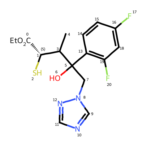 CCOC(=O)[C@@H](S)C(C)C(O)(Cn1cncn1)c1ccc(F)cc1F